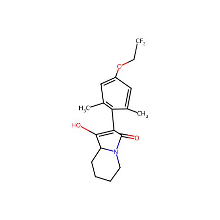 Cc1cc(OCC(F)(F)F)cc(C)c1C1=C(O)C2CCCCN2C1=O